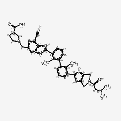 Cc1c(-c2nc3cc(CN4CC[C@@H](C(=O)O)C4)cc(C#N)c3o2)cccc1-c1cccc(-c2nc3c(s2)CN(C(=O)CN(C)C)C3)c1C